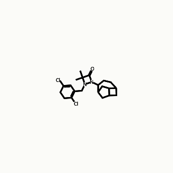 CC1(C)C(=O)N(C2CCC3CC4CC2CC34)N1CC1=C(Cl)CCC(Cl)=C1